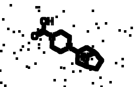 O=C(O)N1CCN(C2CC3CCC(C2)N3)CC1